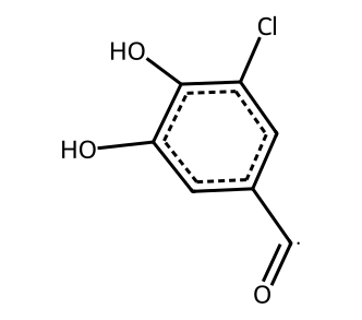 O=[C]c1cc(O)c(O)c(Cl)c1